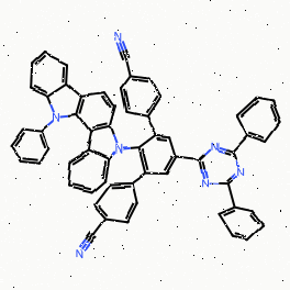 N#Cc1ccc(-c2cc(-c3nc(-c4ccccc4)nc(-c4ccccc4)n3)cc(-c3ccc(C#N)cc3)c2-n2c3ccccc3c3c2ccc2c4ccccc4n(-c4ccccc4)c23)cc1